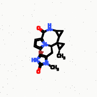 C[C@H]1CC12C1CC1NC(=O)c1ccc(Br)n1[C@@H]2Cc1c[nH]c(=O)n1C